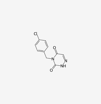 O=c1cn[nH]c(=O)n1Cc1ccc(Cl)cc1